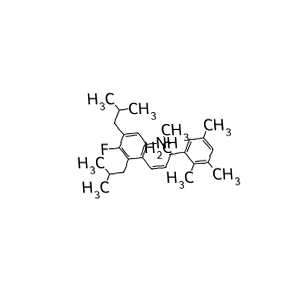 C=C(/C=C\c1c(NC)cc(CC(C)C)c(F)c1CC(C)C)c1cc(C)cc(C)c1C